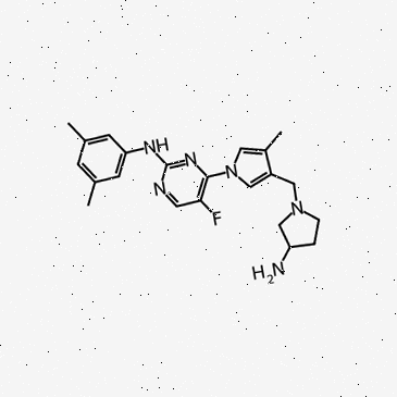 Cc1cc(C)cc(Nc2ncc(F)c(-n3cc(C)c(CN4CCC(N)C4)c3)n2)c1